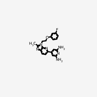 Cc1nc2ccc(-c3cc(N)nc(N)c3)nc2n1CCOc1cccc(F)c1